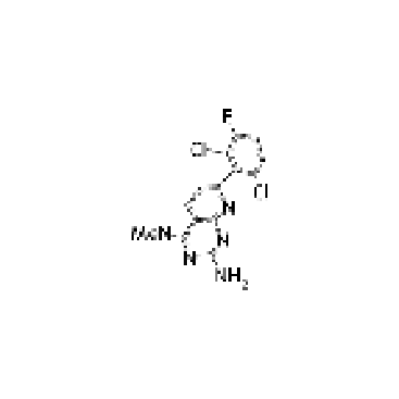 CNc1nc(N)nc2nc(-c3c(Cl)ccc(F)c3Cl)ccc12